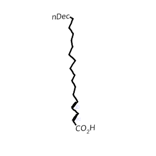 CCCCCCCCCCCCCCCCCCCCCC/C=C/C=C/C(=O)O